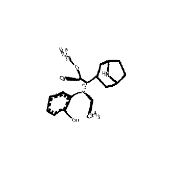 CCN(c1ccccc1O)[C@H](C(=O)OC)C1CC2CCC(C1)N2